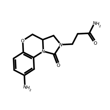 NC(=O)CCN1CC2COc3ccc(N)cc3N2C1=O